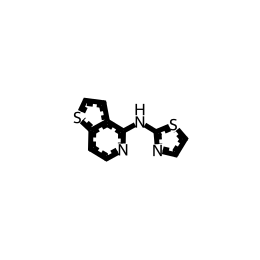 c1csc(Nc2nccc3sccc23)n1